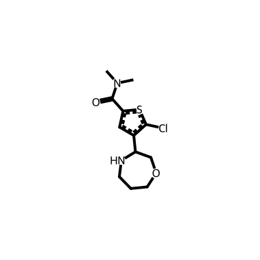 CN(C)C(=O)c1cc(C2COCCCN2)c(Cl)s1